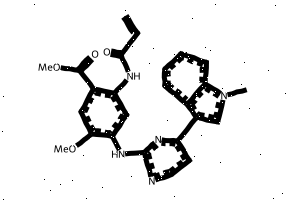 C=CC(=O)Nc1cc(Nc2nccc(-c3cn(C)c4ccccc34)n2)c(OC)cc1C(=O)OC